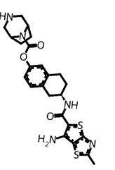 Cc1nc2sc(C(=O)N[C@@H]3CCc4cc(OC(=O)N5C6CCC5CNC6)ccc4C3)c(N)c2s1